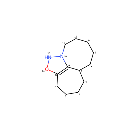 C1CCC2CCCCC3=C2N(CC1)NO3